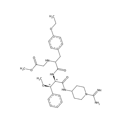 CCOc1ccc(CC(NCC(=O)OC)C(=O)N[C@@H](C(=O)NC2CCN(C(=N)N)CC2)[C@H](OC)c2ccccc2)cc1